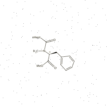 CCCCCCCC(=O)N(C)[C@@H](Cc1ccccc1)C(=O)OC